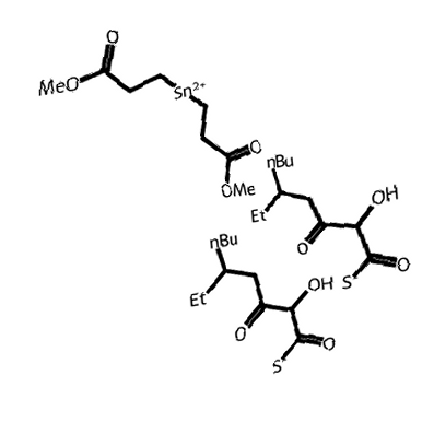 CCCCC(CC)CC(=O)C(O)C(=O)[S-].CCCCC(CC)CC(=O)C(O)C(=O)[S-].COC(=O)C[CH2][Sn+2][CH2]CC(=O)OC